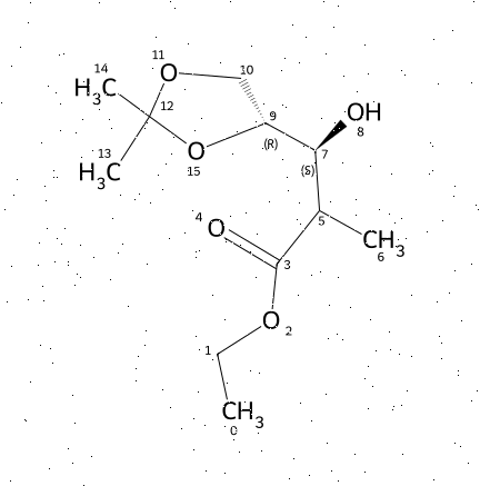 CCOC(=O)C(C)[C@H](O)[C@H]1COC(C)(C)O1